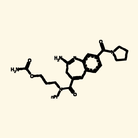 CCCN(CCCOC(N)=O)C(=O)C1=Cc2ccc(C(=O)N3CCCC3)cc2N=C(N)C1